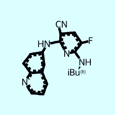 CC[C@@H](C)Nc1nc(Nc2ccc3ncccc3c2)c(C#N)cc1F